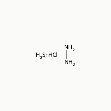 Cl.NN.[SnH2]